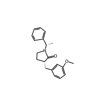 COc1cccc(C[C@@H]2CCN([C@@H](C)c3ccccc3)C2=O)c1